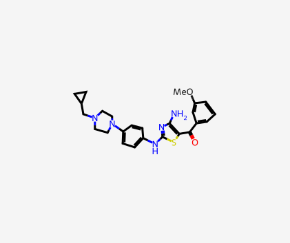 COc1cccc(C(=O)c2sc(Nc3ccc(N4CCN(CC5CC5)CC4)cc3)nc2N)c1